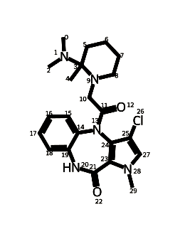 CN(C)C1(C)CCCCN1CC(=O)N1c2ccccc2NC(=O)c2c1c(Cl)cn2C